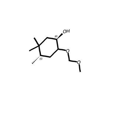 COCOC1C[C@H](C)C(C)(C)C[C@H]1O